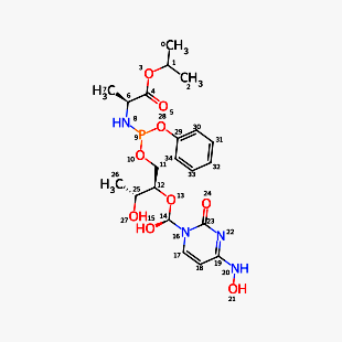 CC(C)OC(=O)[C@H](C)NP(OC[C@@H](O[C@H](O)n1ccc(NO)nc1=O)[C@@H](C)O)Oc1ccccc1